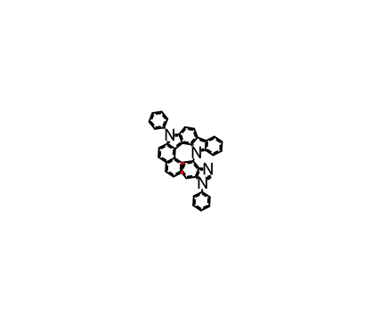 c1ccc(-n2cnc3c(-n4c5ccccc5c5ccc6c(c7c8ccccc8ccc7n6-c6ccccc6)c54)cccc32)cc1